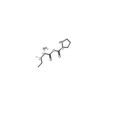 CC[C@H](C)[C@H](N)C(=O)OC(=O)[C@@H]1CCCN1